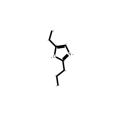 [CH2]CCc1ncc(CC)o1